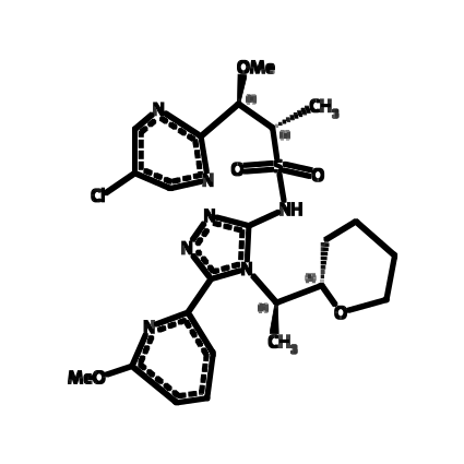 COc1cccc(-c2nnc(NS(=O)(=O)[C@@H](C)[C@H](OC)c3ncc(Cl)cn3)n2[C@H](C)[C@@H]2CCCCO2)n1